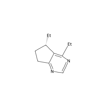 CCc1ncnc2c1[C@@H](CC)CC2